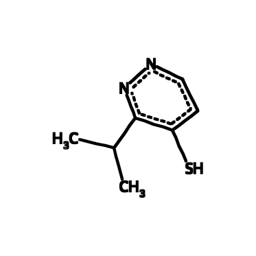 CC(C)c1nnccc1S